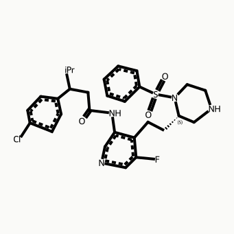 CC(C)C(CC(=O)Nc1cncc(F)c1CC[C@H]1CNCCN1S(=O)(=O)c1ccccc1)c1ccc(Cl)cc1